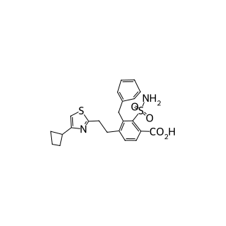 NS(=O)(=O)c1c(C(=O)O)ccc(CCc2nc(C3CCC3)cs2)c1Cc1ccccc1